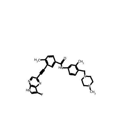 Cc1ccc(C(=O)Nc2ccc(CN3CCN(C)CC3)c(C)c2)cc1C#Cc1cnc2[nH]cc(F)c2n1